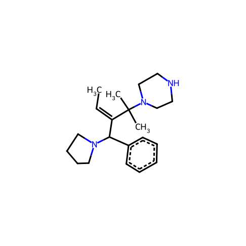 CC=C(C(c1ccccc1)N1CCCC1)C(C)(C)N1CCNCC1